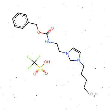 O=C(NCCN1C=CN(CCCCS(=O)(=O)O)C1)OCc1ccccc1.O=S(=O)(O)C(F)(F)F